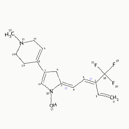 C=C/C(=C\C=C1/CC(C2=CCN(C)CC2)=CN1O)C(F)(F)F